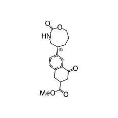 COC(=O)C1CC(=O)c2cc([C@@H]3CCCOC(=O)NC3)ccc2C1